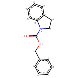 O=C(OCc1ccccc1)N1[CH]Cc2ccccc21